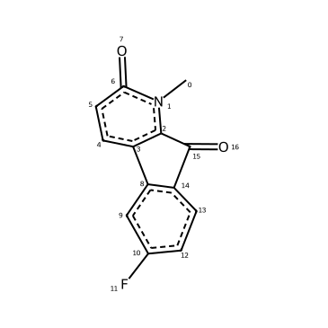 Cn1c2c(ccc1=O)-c1cc(F)ccc1C2=O